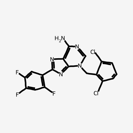 Nc1ncn(Cc2c(Cl)cccc2Cl)c2nc(-c3cc(F)c(F)cc3F)nc1-2